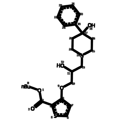 CCCCOC(=O)c1sccc1OCC(O)CN1CCC(O)(c2ccccc2)CC1